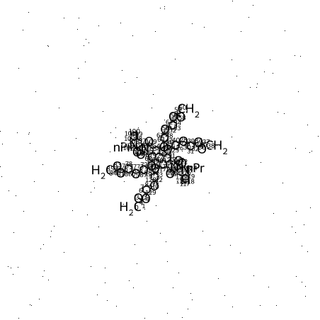 C=CC(=O)Oc1cccc(Oc2ccc(Oc3cc4c5c(cc(Oc6ccc(Oc7cccc(OC(=O)C=C)c7)cc6)c6c7c(Oc8ccc(Oc9cccc(OC(=O)C=C)c9)cc8)cc8c9c(cc(Oc%10ccc(Oc%11cccc(OC(=O)C=C)c%11)cc%10)c(c3c56)c97)C(=O)N(C(Cc3ccccc3)C(=O)NCCC)C8=O)C(=O)N(C(Cc3ccccc3)C(=O)NCCC)C4=O)cc2)c1